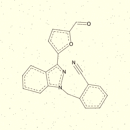 N#Cc1ccccc1Cn1nc(-c2ccc(C=O)o2)c2ccccc21